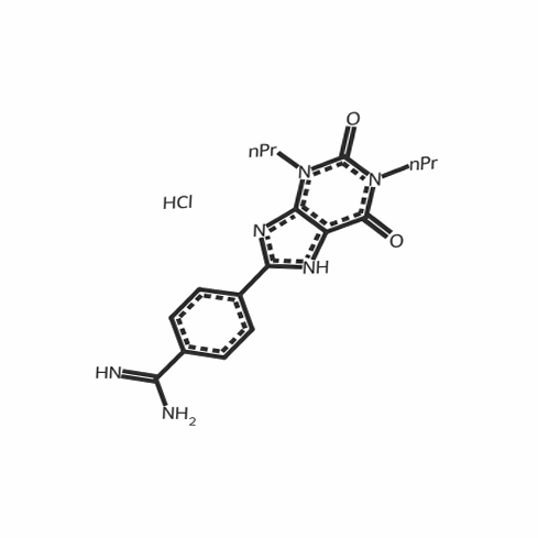 CCCn1c(=O)c2[nH]c(-c3ccc(C(=N)N)cc3)nc2n(CCC)c1=O.Cl